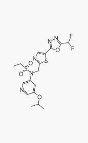 CCS(=O)(=O)N(Cc1ncc(-c2nnc(C(F)F)o2)s1)c1cncc(OC(C)C)c1